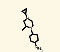 CC1CN(C2CC2)CCN1C1CCC(N)CC1